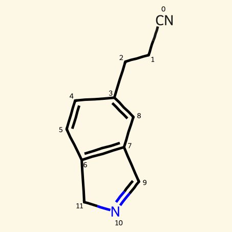 N#CCCc1ccc2c(c1)C=NC2